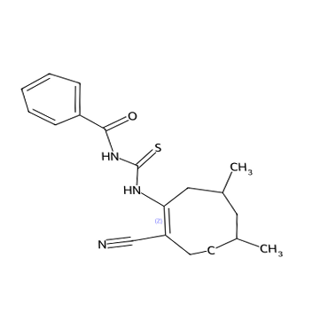 CC1CC/C(C#N)=C(/NC(=S)NC(=O)c2ccccc2)CC(C)C1